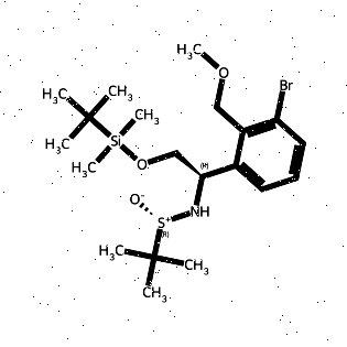 COCc1c(Br)cccc1[C@H](CO[Si](C)(C)C(C)(C)C)N[S@@+]([O-])C(C)(C)C